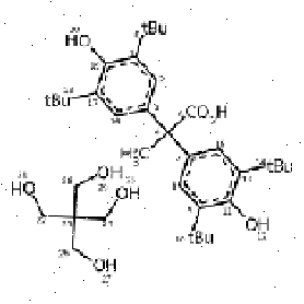 CC(C)(C)c1cc(C(C)(C(=O)O)c2cc(C(C)(C)C)c(O)c(C(C)(C)C)c2)cc(C(C)(C)C)c1O.OCC(CO)(CO)CO